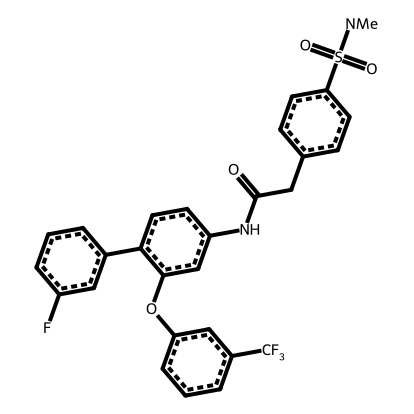 CNS(=O)(=O)c1ccc(CC(=O)Nc2ccc(-c3cccc(F)c3)c(Oc3cccc(C(F)(F)F)c3)c2)cc1